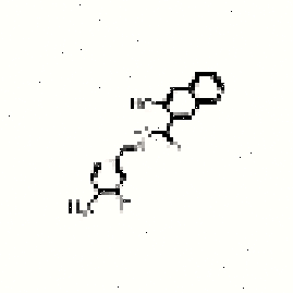 Cc1ccc(/C=N/NC(=O)c2cc3ccccc3cc2O)cc1F